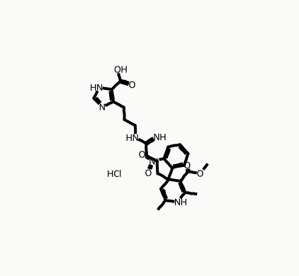 COC(=O)C1=C(C)NC(C)=CC1(CCCC(=N)NCCCc1nc[nH]c1C(=O)O)c1ccccc1[N+](=O)[O-].Cl